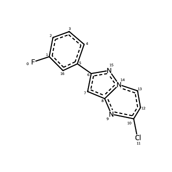 Fc1cccc(-c2cc3nc(Cl)ccn3n2)c1